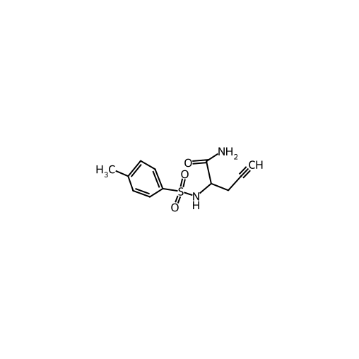 C#CCC(NS(=O)(=O)c1ccc(C)cc1)C(N)=O